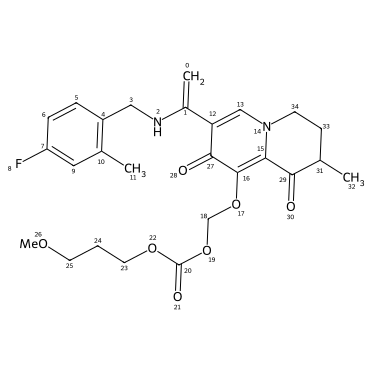 C=C(NCc1ccc(F)cc1C)c1cn2c(c(OCOC(=O)OCCCOC)c1=O)C(=O)C(C)CC2